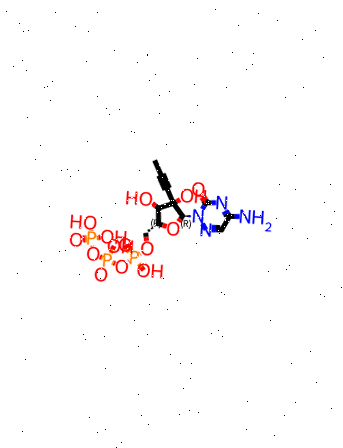 CC#CC1(O)C(O)[C@@H](COP(=O)(O)OP(=O)(O)OP(=O)(O)O)O[C@H]1n1ncc(N)nc1=O